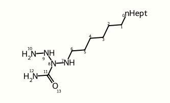 CCCCCCCCCCCCCNN(NN)C(N)=O